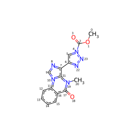 COC(=O)n1cc(-c2ncn3c4ccccc4c(=O)n(C)c23)nn1